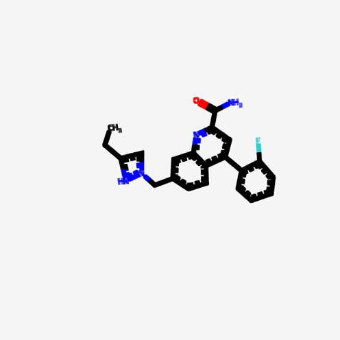 CCc1cn(Cc2ccc3c(-c4ccccc4F)cc(C(N)=O)nc3c2)[nH]1